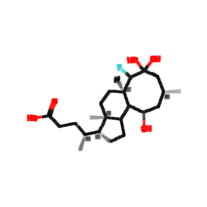 C[C@@H]1CC(O)C2C3CC[C@H]([C@H](C)CCC(=O)O)[C@@]3(C)CC[C@H]2C(F)C(O)(O)C1